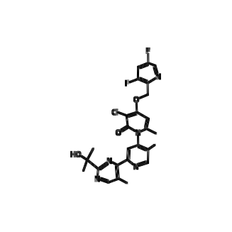 Cc1cnc(-c2nc(C(C)(C)O)ncc2C)cc1-n1c(C)cc(OCc2ncc(F)cc2F)c(Cl)c1=O